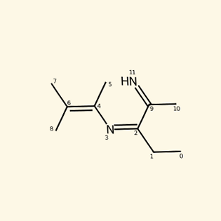 CC/C(=N/C(C)=C(C)C)C(C)=N